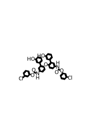 O=C(Nc1ccc(Oc2ccc(NC(=O)Oc3cccc(Cl)c3)cc2-c2cccc(O)c2)c(-c2cccc(O)c2)c1)Oc1cccc(Cl)c1